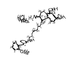 COc1cccnc1CONCCCCCCC1c2ccc(O)c(O)c2CCC1N.Cl.Cl.Cl